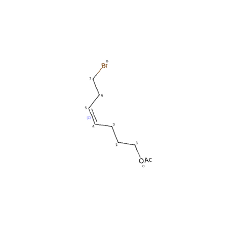 CC(=O)OCCC/C=C\CCBr